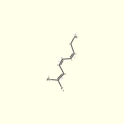 CC(C)C\C=C/C=C\C=C(\F)C(C)C